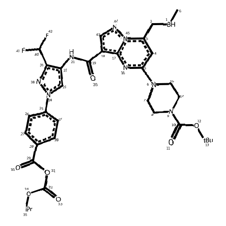 CBCc1cc(N2CCN(C(=O)OC(C)(C)C)CC2)nc2c(C(=O)Nc3cn(-c4ccc(C(=O)OC(=O)OC(C)C)cc4)nc3C(F)F)cnn12